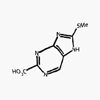 CSc1nc2nc(C(=O)O)ncc2[nH]1